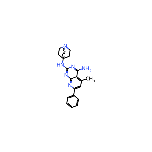 Cc1cc(-c2ccccc2)nc2nc(NC34CCN(CC3)CC4)nc(N)c12